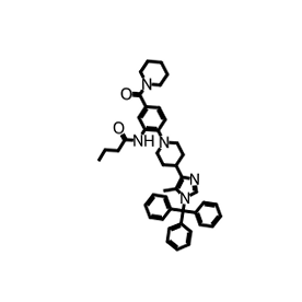 CCCC(=O)Nc1cc(C(=O)N2CCCCC2)ccc1N1CCC(c2ncn(C(c3ccccc3)(c3ccccc3)c3ccccc3)c2C)CC1